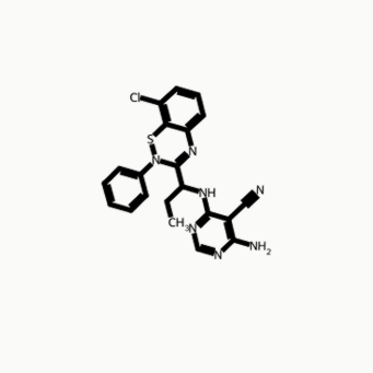 CCC(Nc1ncnc(N)c1C#N)C1=Nc2cccc(Cl)c2SN1c1ccccc1